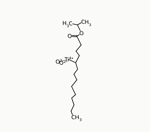 CCCCCCCCC[CH]([Ti+4])CCCC(=O)OC(C)C.[O-2].[O-2]